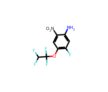 Nc1cc(F)c(OC(F)(F)C(F)F)cc1[N+](=O)[O-]